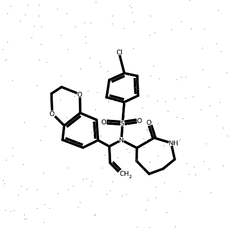 C=CC(c1ccc2c(c1)OCCO2)N(C1CCCCNC1=O)S(=O)(=O)c1ccc(Cl)cc1